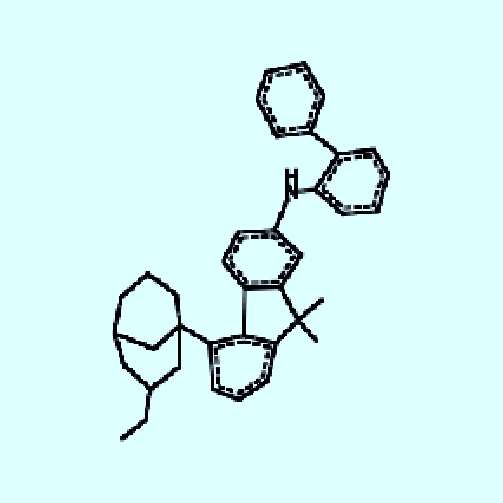 CCC1CC2CCCC(c3cccc4c3-c3ccc(Nc5ccccc5-c5ccccc5)cc3C4(C)C)(C1)C2